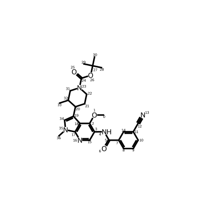 COc1c(NC(=O)c2cccc(C#N)c2)cnc2c1c(C1CCN(C(=O)OC(C)(C)C)CC1C)cn2C